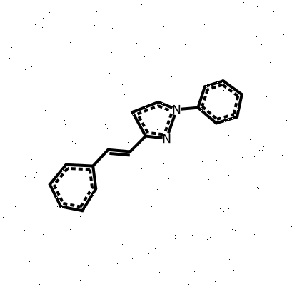 C(=Cc1ccn(-c2ccccc2)n1)c1ccccc1